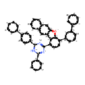 c1ccc(C2=NC(c3ccc(-c4cccc(-c5ccccc5)c4)c4oc5cc6ccccc6cc5c34)=NC(c3ccc(-c4ccccc4)cc3)N2)cc1